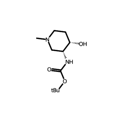 CN1CC[C@H](O)[C@H](NC(=O)OC(C)(C)C)C1